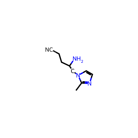 Cc1nccn1CC(N)CCC#N